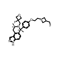 C[C@@H]1Cc2c(ccc3[nH]ncc23)[C@@](C)(c2ccc(OCCN3CC(CF)C3)cc2)N1CC1(F)COC1